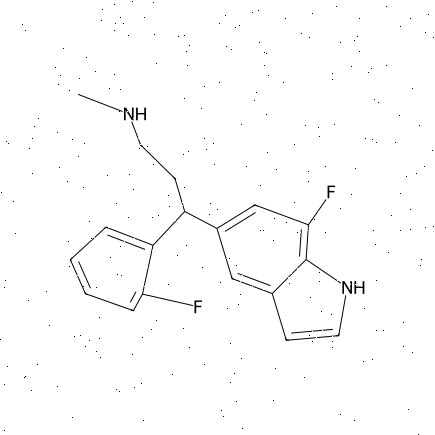 CNCCC(c1cc(F)c2[nH]ccc2c1)c1ccccc1F